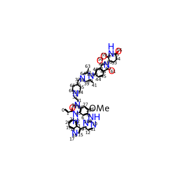 C=CC(=O)Nc1cc(Nc2nccc(-c3cn(C)c4ccccc34)n2)c(OC)cc1N(C)CCN1CCC(CN2CC(C)N(c3ccc4c(c3)C(=O)N(C3CCC(=O)NC3=O)C4=O)C(C)C2)CC1